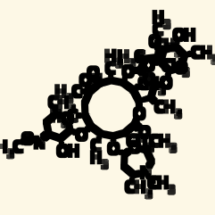 CON=C1C[C@@H](C)O[C@@H](O[C@@H]2[C@@H](C)[C@H](O[C@H]3C[C@@H](C)N(C)C[C@H](C)O3)[C@@H](C)C(=O)O[C@H](C(C)CO[C@@H]3O[C@H](C)[C@@H](O)[C@@H](OC)[C@H]3OC)[C@H](C)[C@@H](OC(=O)CC(C)C)[C@@H](C)C(=O)[C@@](C)(O)C[C@@H]2C)[C@@H]1O